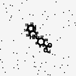 COC(=O)C1CCC(NCc2ncccc2C)CC1